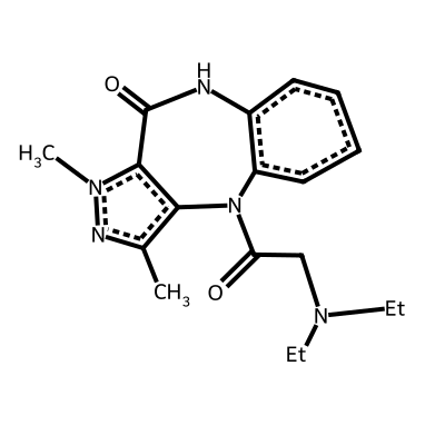 CCN(CC)CC(=O)N1c2ccccc2NC(=O)c2c1c(C)nn2C